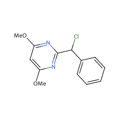 COc1cc(OC)nc(C(Cl)c2ccccc2)n1